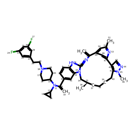 C=C1/N=C2\Nc3ccc(C(=C)N(C4CC4)C4CCN(CCc5cc(F)cc(F)c5)CC4)cc3N2C[C@H](C)CCCCc2c(cnn2C)-c2cc1cc(C)n2